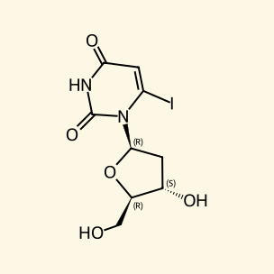 O=c1cc(I)n([C@H]2C[C@H](O)[C@@H](CO)O2)c(=O)[nH]1